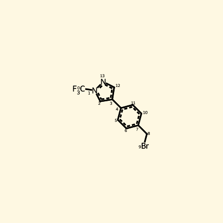 FC(F)(F)n1cc(-c2ccc(CBr)cc2)cn1